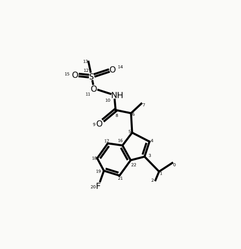 CC(C)C1=CC(C(C)C(=O)NOS(C)(=O)=O)c2ccc(F)cc21